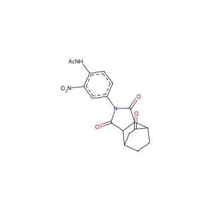 CC(=O)Nc1ccc(N2C(=O)C3C4CCC(C(=O)C4)C3C2=O)cc1[N+](=O)[O-]